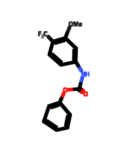 COc1cc(NC(=O)Oc2ccccc2)ccc1C(F)(F)F